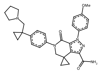 COc1ccc(-n2nc(C(N)=O)c3c2C(=O)N(c2ccc(C4(CN5CCCC5)CC4)cc2)CC32CC2)cc1